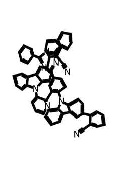 N#Cc1ccccc1-c1ccc2c(c1)c1ccccc1n2-c1ccc(-c2nc(-c3ccccc3)nc(-c3ccccc3)n2)cc1-c1ncccc1-n1c2ccccc2c2cc(-c3ccccc3C#N)ccc21